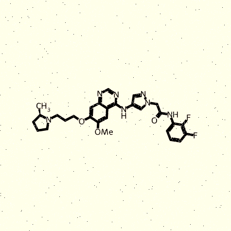 COc1cc2c(Nc3cnn(CC(=O)Nc4cccc(F)c4F)c3)ncnc2cc1OCCCN1CCC[C@H]1C